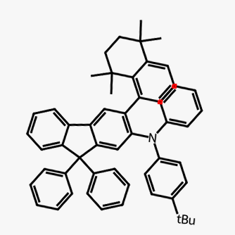 CC(C)(C)c1ccc(N(c2ccccc2)c2cc3c(cc2-c2cccc4c2C(C)(C)CCC4(C)C)-c2ccccc2C3(c2ccccc2)c2ccccc2)cc1